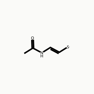 CC(=O)NC=C[S]